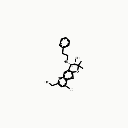 CCc1cc(CO)nc2cc3c(cc12)OC(C)(C)[C@H](O)[C@H]3NCCc1ccccc1